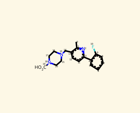 Cc1nc(-c2ccccc2F)ccc1CN1CCN(C(=O)O)CC1